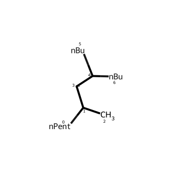 CCCCCC(C)[CH]C(CCCC)CCCC